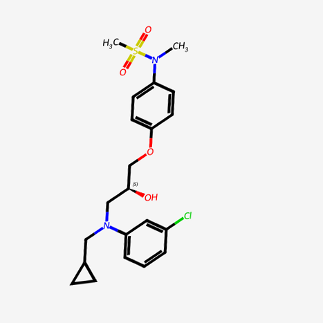 CN(c1ccc(OC[C@@H](O)CN(CC2CC2)c2cccc(Cl)c2)cc1)S(C)(=O)=O